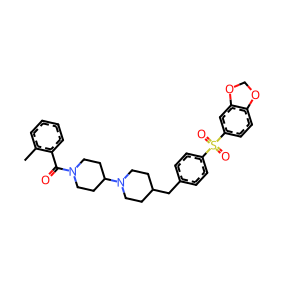 Cc1ccccc1C(=O)N1CCC(N2CCC(Cc3ccc(S(=O)(=O)c4ccc5c(c4)OCO5)cc3)CC2)CC1